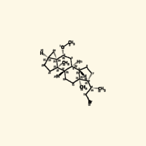 CO[C@@H]1C[C@H]2[C@@H]3CC[C@H]([C@H](C)CBr)[C@@]3(C)CC[C@@H]2[C@@]2(C)CC[C@H]3C[C@]312